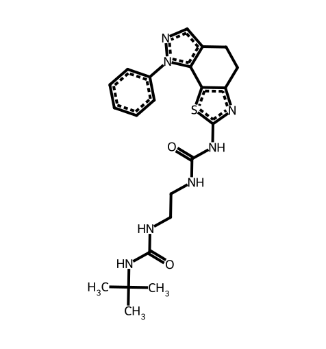 CC(C)(C)NC(=O)NCCNC(=O)Nc1nc2c(s1)-c1c(cnn1-c1ccccc1)CC2